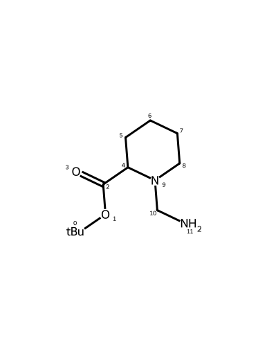 CC(C)(C)OC(=O)C1CCCCN1CN